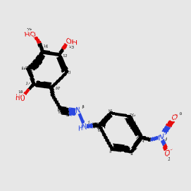 O=[N+]([O-])c1ccc(NN=Cc2cc(O)c(O)cc2O)cc1